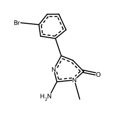 Cn1c(N)nc(-c2cccc(Br)c2)cc1=O